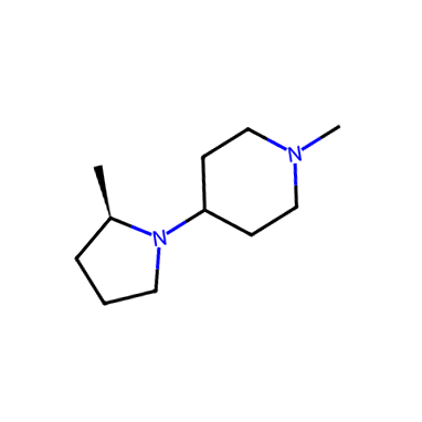 C[C@@H]1CCCN1C1CCN(C)CC1